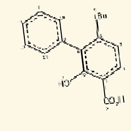 CC(C)(C)c1ccc(C(=O)O)c(O)c1-c1ccccc1